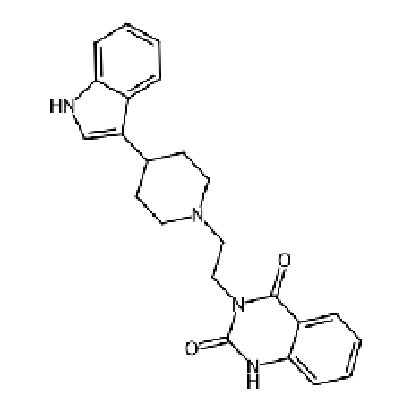 O=c1[nH]c2ccccc2c(=O)n1CCN1CCC(c2c[nH]c3ccccc23)CC1